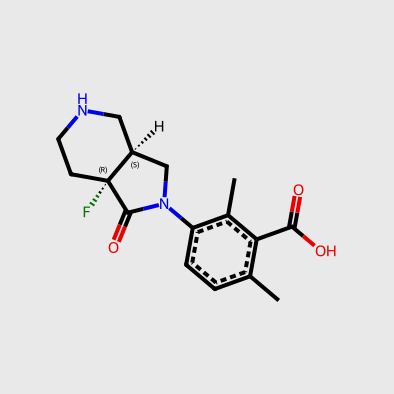 Cc1ccc(N2C[C@@H]3CNCC[C@]3(F)C2=O)c(C)c1C(=O)O